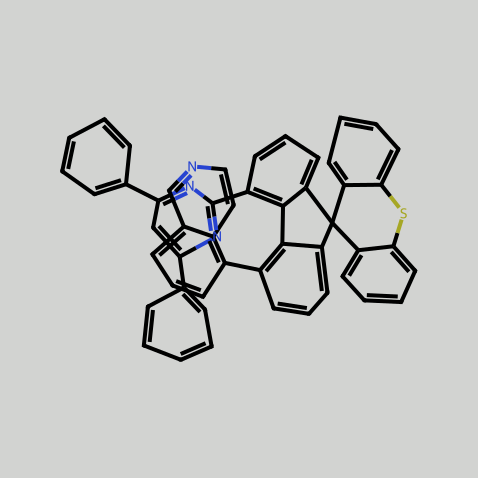 c1ccc(-c2cc(-c3ccccc3)nc(-c3cccc4c3-c3c(-c5cccc6cnccc56)cccc3C43c4ccccc4Sc4ccccc43)n2)cc1